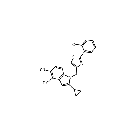 [C-]#[N+]c1ccc2c(cc(C3CC3)n2Cc2csc(-c3ccccc3Cl)n2)c1C(F)(F)F